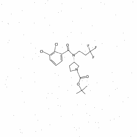 CC(C)(C)OC(=O)N1CC[C@H](N(CCC(F)(F)F)C(=O)c2cccc(Cl)c2Cl)C1